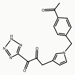 CC(=O)c1ccc(Cn2ccc(CC(=O)C(=O)c3nn[nH]n3)c2)cc1